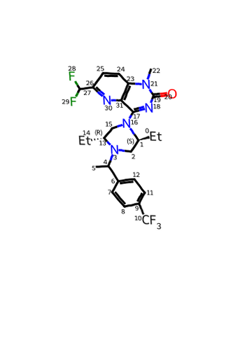 CC[C@H]1CN(C(C)c2ccc(C(F)(F)F)cc2)[C@H](CC)CN1c1nc(=O)n(C)c2ccc(C(F)F)nc12